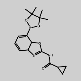 CC1(C)OB(C2=CC=CC3N=C(NC(=O)C4CC4)SC23)OC1(C)C